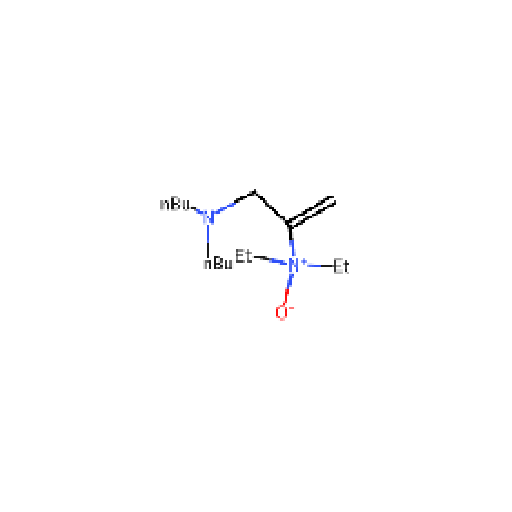 C=C(CN(CCCC)CCCC)[N+]([O-])(CC)CC